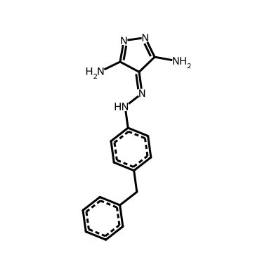 NC1=NN=C(N)C1=NNc1ccc(Cc2ccccc2)cc1